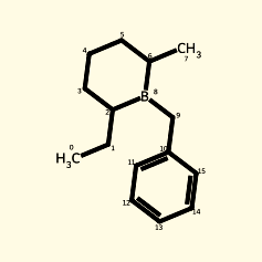 CCC1CCCC(C)B1Cc1ccccc1